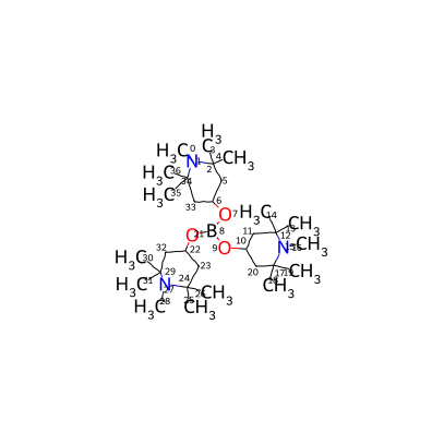 CN1C(C)(C)CC(OB(OC2CC(C)(C)N(C)C(C)(C)C2)OC2CC(C)(C)N(C)C(C)(C)C2)CC1(C)C